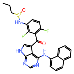 CCC[S+]([O-])Nc1ccc(F)c(C(=O)c2c[nH]c3ncnc(Nc4cccc5ccccc45)c23)c1F